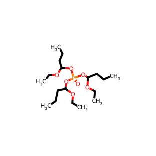 CCCC(OCC)OP(=O)(OC(CCC)OCC)OC(CCC)OCC